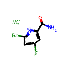 Cl.NC(=O)c1cc(F)cc(Br)n1